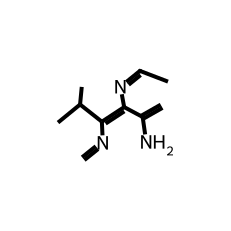 C=N/C(=C(/N=C\C)C(=C)N)C(C)C